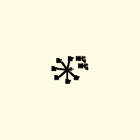 [Br][Ir-2]([Br])([Br])([Br])([Br])[Br].[NH4+].[NH4+]